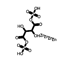 O=C(OS(=O)(=O)O)C(O)C(O)C(=O)OS(=O)(=O)O.[Zn].[Zn].[Zn].[Zn]